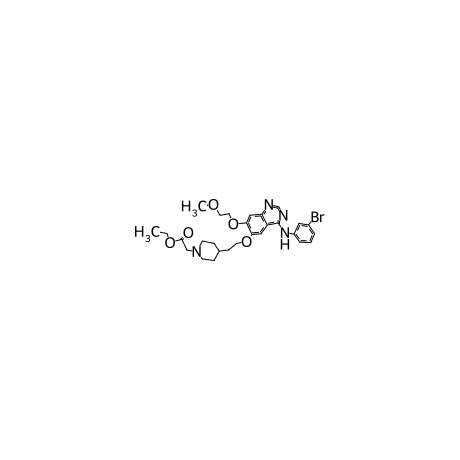 CCOC(=O)CN1CCC(CCOc2cc3c(Nc4cccc(Br)c4)ncnc3cc2OCCOC)CC1